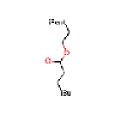 CCCC(C)CCOC([O])CCC(C)CC